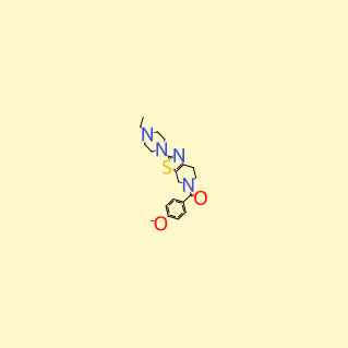 CCN1CCN(c2nc3c(s2)CN(C(=O)c2ccc(OC)cc2)CC3)CC1